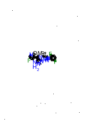 CCC(c1cn(-c2cc(F)ccc2F)nn1)n1cc(-c2cc(F)cnc2OC)c2c(N)ncnc21